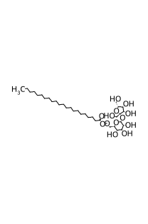 CCCCCCCCCCCCCCCCCCCCCC(=O)OOC[C@H]1O[C@H](O[C@]2(CO)O[C@H](CO)[C@@H](O)[C@@H]2O)[C@H](O)[C@@H](O)[C@@H]1O